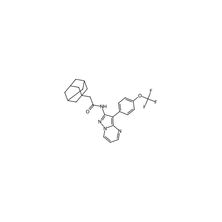 O=C(CC12CC3CC(CC(C3)C1)C2)Nc1nn2cccnc2c1-c1ccc(OC(F)(F)F)cc1